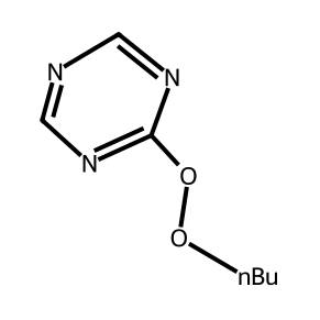 CCCCOOc1ncncn1